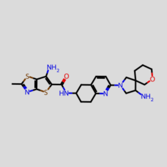 Cc1nc2sc(C(=O)NC3CCc4nc(N5CC(N)C6(CCCOC6)C5)ccc4C3)c(N)c2s1